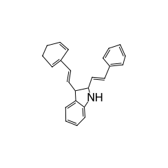 C1=CC(/C=C/C2c3ccccc3NC2/C=C/c2ccccc2)=CCC1